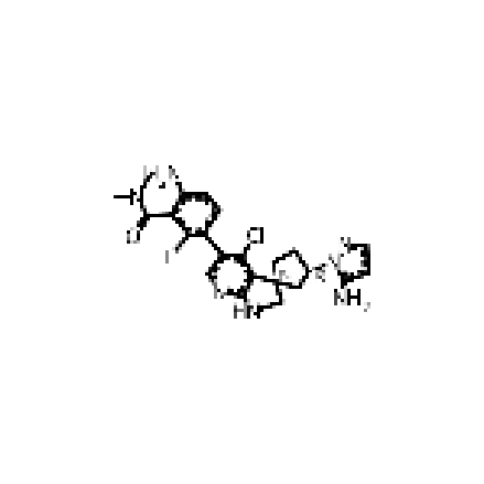 CN(C)C(=O)c1c(N)ccc(-c2cnc3c(c2Cl)[C@@]2(CC[C@@H](n4nccc4N)C2)CN3)c1F